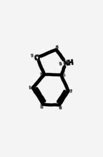 [C]1=CC2OCNC2C=C1